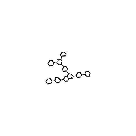 c1ccc(-c2ccc(-c3ccc4nc(-c5ccc(-c6ccccc6)cc5)cc(-c5ccc(-c6cc(-c7ccccc7)nc(-c7ccccc7)c6)cc5)c4c3)cc2)cc1